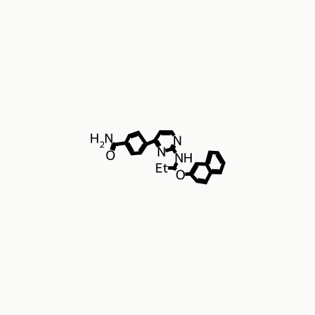 CCC(Nc1nccc(-c2ccc(C(N)=O)cc2)n1)Oc1ccc2ccccc2c1